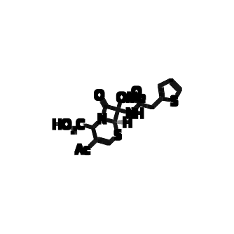 COC1(NC(=O)Cc2cccs2)C(=O)N2C(C(=O)O)C(C(C)=O)=CS[C@@H]21